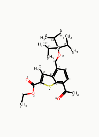 CCOC(=O)c1sc2c(C(C)=O)ccc(CO[Si](C(C)C)(C(C)C)C(C)C)c2c1C